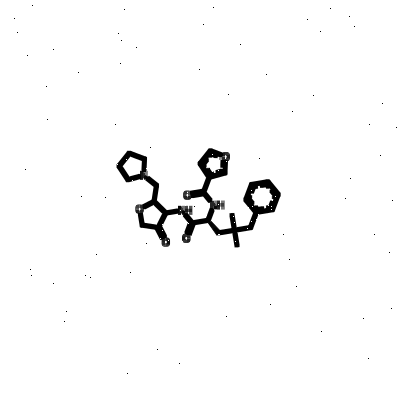 CC(C)(Cc1ccccc1)C[C@H](NC(=O)c1ccoc1)C(=O)NC1C(=O)COC1CN1CCCC1